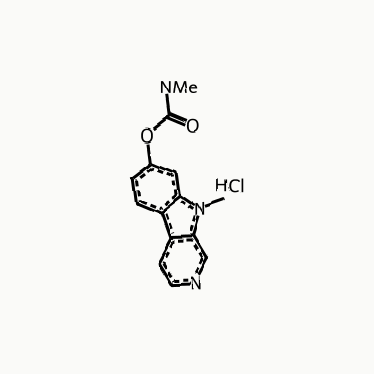 CNC(=O)Oc1ccc2c3ccncc3n(C)c2c1.Cl